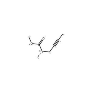 CC#CC[C@H](C)C(=O)OC